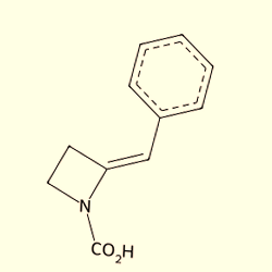 O=C(O)N1CCC1=Cc1ccccc1